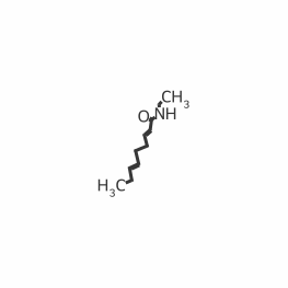 CCC=CCC/C=C/C(=O)NCC